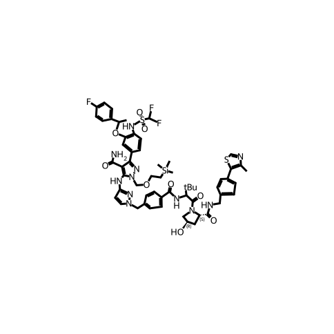 Cc1ncsc1-c1ccc(CNC(=O)[C@@H]2C[C@@H](O)CN2C(=O)C(NC(=O)c2ccc(Cn3ccc(Nc4c(C(N)=O)c(-c5ccc(NS(=O)(=O)C(F)F)c(OC(C)c6ccc(F)cc6)c5)nn4COCC[Si](C)(C)C)n3)cc2)C(C)(C)C)cc1